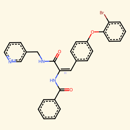 O=C(NCc1cccnc1)/C(=C\c1ccc(Oc2ccccc2Br)cc1)NC(=O)c1ccccc1